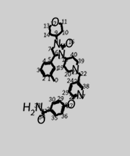 Cc1cccc(C2CN(C3CCOCC3)C(=O)N2C2CCN(Cc3ccc(Oc4ccc(C(N)=O)cc4)nc3)CC2)c1